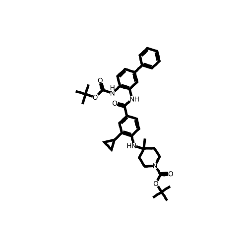 CC1(Nc2ccc(C(=O)Nc3cc(-c4ccccc4)ccc3NC(=O)OC(C)(C)C)cc2C2CC2)CCN(C(=O)OC(C)(C)C)CC1